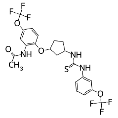 CC(=O)Nc1cc(OC(F)(F)F)ccc1OC1CCC(NC(=S)Nc2cccc(OC(F)(F)F)c2)C1